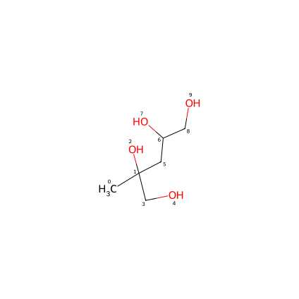 CC(O)(CO)CC(O)CO